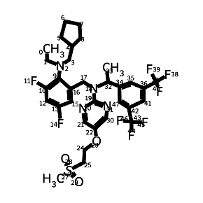 CCN(CC1CCCC1)c1c(F)cc(F)cc1CN(c1ncc(OCCS(C)(=O)=O)cn1)C(C)c1cc(C(F)(F)F)cc(C(F)(F)F)c1